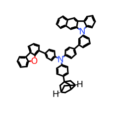 c1cc(-c2ccc(N(c3ccc(-c4cccc5c4oc4ccccc45)cc3)c3ccc(C45CC6C[C@H](C[C@H]6C4)C5)cc3)cc2)cc(-n2c3ccccc3c3cc4ccccc4cc32)c1